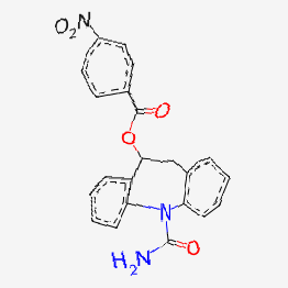 NC(=O)N1c2ccccc2CC(OC(=O)c2ccc([N+](=O)[O-])cc2)c2ccccc21